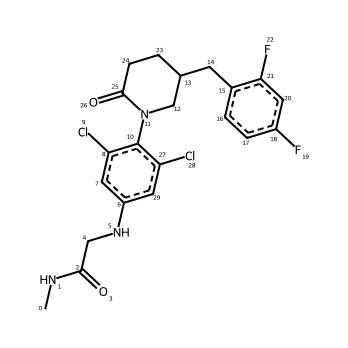 CNC(=O)CNc1cc(Cl)c(N2CC(Cc3ccc(F)cc3F)CCC2=O)c(Cl)c1